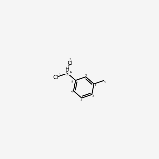 Cc1cccc([SiH](Cl)Cl)c1